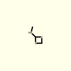 CNC1SCS1